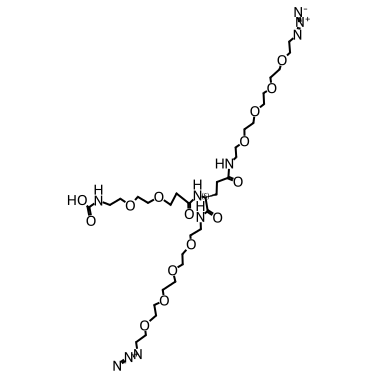 [N-]=[N+]=NCCOCCOCCOCCOCCNC(=O)CC[C@H](NC(=O)CCOCCOCCNC(=O)O)C(=O)NCCOCCOCCOCCOCCN=[N+]=[N-]